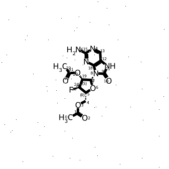 CC(=O)OC[C@H]1O[C@@H](n2c(=O)[nH]c3cnc(N)nc32)[C@H](OC(C)=O)[C@@H]1F